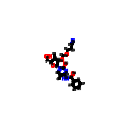 Cc1cn([C@@H]2O[C@H](CO)C(C)[C@@H]2OCOCCC#N)c(=O)nc1NC(=O)c1ccccc1